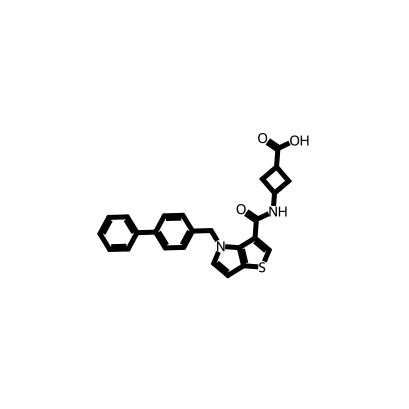 O=C(NC1CC(C(=O)O)C1)c1csc2ccn(Cc3ccc(-c4ccccc4)cc3)c12